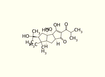 CC(C)C(=O)C1=C(O)[C@@]2(O)[C@H](C[C@H]3C(C)(C)[C@@H](C(C)(C)O)C[C@]32O)C1=O